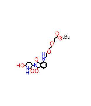 CC(C)(C)OC(=O)CCOCCOCCNc1cccc2c1C(=O)N(C1CCC(O)NC1=O)C2=O